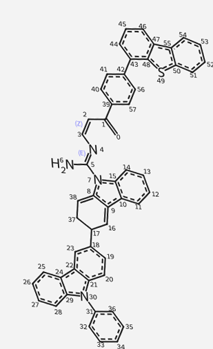 C=C(/C=C\N=C(/N)n1c2c(c3ccccc31)=CC(c1ccc3c(c1)c1ccccc1n3-c1ccccc1)CC=2)c1ccc(-c2cccc3c2sc2ccccc23)cc1